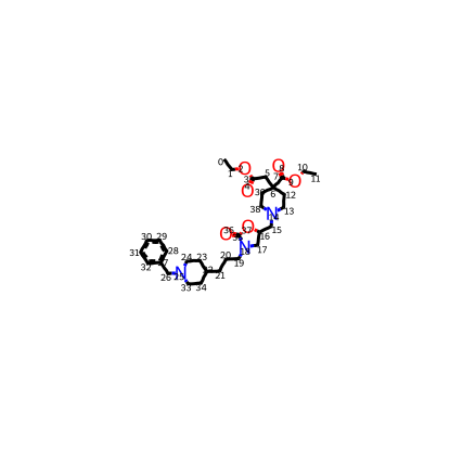 CCOC(=O)CC1(C(=O)OCC)CCN(CC2CN(CCCC3CCN(Cc4ccccc4)CC3)C(=O)O2)CC1